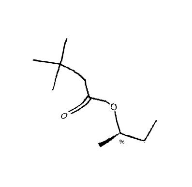 C[CH][C@@H](C)OC(=O)CC(C)(C)C